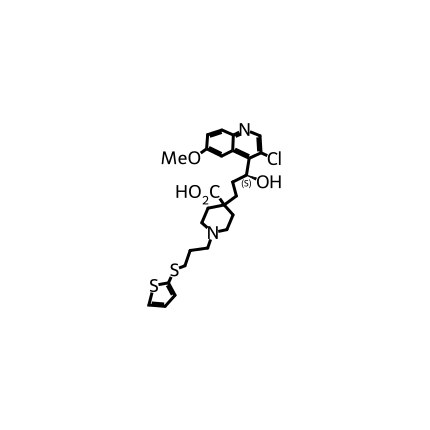 COc1ccc2ncc(Cl)c([C@@H](O)CCC3(C(=O)O)CCN(CCCSc4cccs4)CC3)c2c1